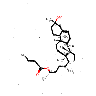 CC(=O)CCC(=O)O[C@H](CC[C@@H](C)[C@H]1CC[C@H]2[C@@H]3CC=C4C[C@@](C)(O)CC[C@]4(C)[C@H]3CC[C@]12C)C(F)(F)F